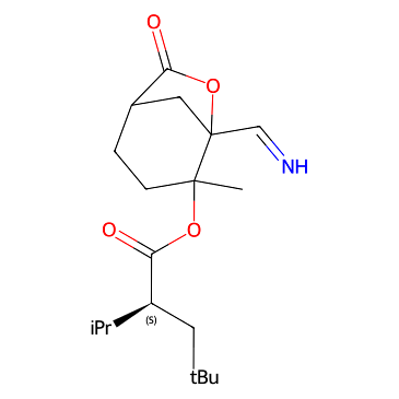 CC(C)[C@H](CC(C)(C)C)C(=O)OC1(C)CCC2CC1(C=N)OC2=O